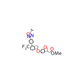 COC(=O)CC1COc2cc(O[C@@H]3CCc4c3ccc(C(F)(F)F)c4-c3ccc(-c4noc(C5CC5)n4)cc3)ccc21